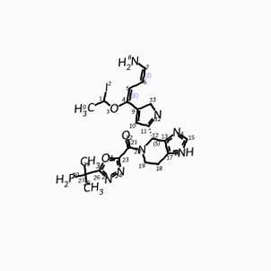 CC(I)O/C(=C/C=C\N)C1=CC([C@@H]2c3nc[nH]c3CCN2C(=O)c2nnc(C(C)(C)P)o2)=NC1